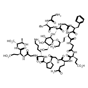 CC[C@H](C)[C@H](NC(=O)CN)C(=O)N[C@@H](C)C(=O)NCC(=O)N[C@@H](Cc1ccccc1)C(=O)N[C@@H](CC[C@H](CN)O[C@@H]1O[C@H](CO)[C@H](O)[C@H](O)[C@H]1O)C(=O)NCC(=O)N[C@@H](CCC(=O)O)C(=O)N[C@@H](CCC(N)=O)C(=O)NCC(=O)N1CCC[C@H]1C(=O)N[C@@H](CCCCN)C(=O)NCC(=O)N[C@@H](CCC(=O)O)C(=O)N[C@H](C(=O)O)[C@@H](C)O